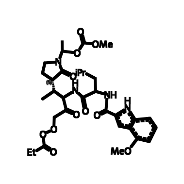 CCC(=O)OOCC(=O)C(NC(=O)C(CC(C)C)NC(=O)c1cc2c(OC)cccc2[nH]1)C(C)[C@@H]1CCN(C(C)OC(=O)OC)C1=O